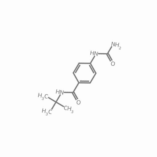 CC(C)(C)NC(=O)c1ccc(NC(N)=O)cc1